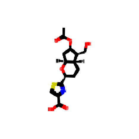 CC(=O)O[C@@H]1C[C@@H]2O[C@@H](c3nc(C(=O)O)cs3)CC[C@@H]2[C@H]1CO